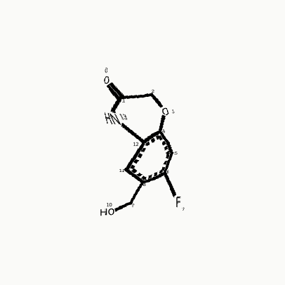 O=C1COc2cc(F)c(CO)cc2N1